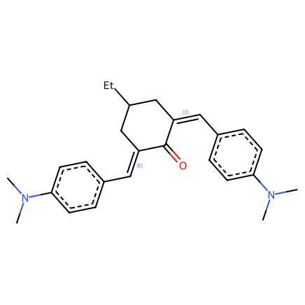 CCC1C/C(=C/c2ccc(N(C)C)cc2)C(=O)/C(=C/c2ccc(N(C)C)cc2)C1